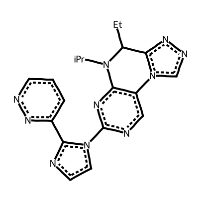 CCC1c2nncn2-c2cnc(-n3ccnc3-c3cccnn3)nc2N1C(C)C